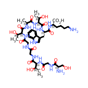 C[C@H](NC(=O)[C@@H](NC(=O)CNC(=O)CNC(=O)[C@@H](NC(=O)CNC(=O)[C@@H](N)CO)[C@@H](C)O)[C@@H](C)O)C(=O)N[C@H](C(=O)N[C@@H](Cc1c[nH]c2ccccc12)C(=O)N[C@@H](CCCCN)C(=O)O)[C@@H](C)O